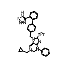 CCCC1N=C2C(=CN(CC3CC3)CN2c2ccccc2)N1Cc1ccc(-c2ccccc2-c2nnn[nH]2)cc1